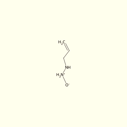 C=CCN[NH2+][O-]